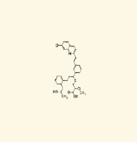 COC(CSC(CCc1ccccc1CC(C)O)c1cccc(C=Cc2ccc3ccc(Cl)cc3n2)c1)C(=O)O